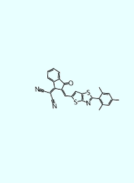 Cc1cc(C)c(-c2nc3sc(/C=C4\C(=O)c5ccccc5C4=C(C#N)C#N)cc3s2)c(C)c1